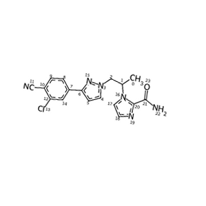 CC(Cn1ccc(-c2ccc(C#N)c(Cl)c2)n1)n1ccnc1C(N)=O